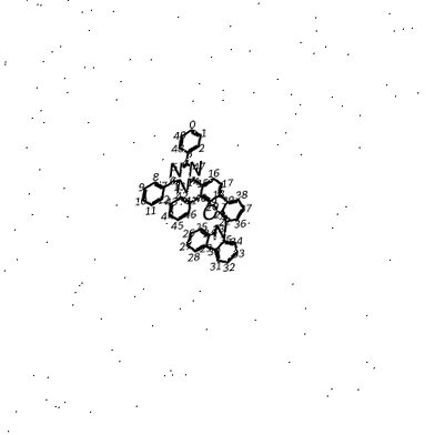 c1ccc(-c2nc(-c3ccccc3)nc(-c3ccc4c(oc5c(-n6c7ccccc7c7ccccc76)cccc54)c3-c3ccccc3)n2)cc1